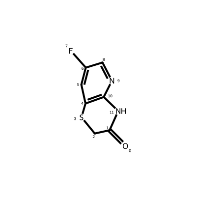 O=C1CSc2cc(F)cnc2N1